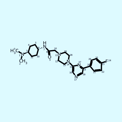 CN(C)[C@H]1CC[C@H](NC(=O)CN2CCN(c3cncc(-c4ccc(F)cc4)n3)CC2)CC1